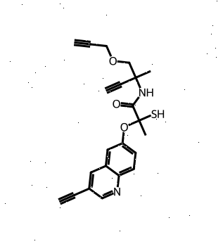 C#CCOCC(C)(C#C)NC(=O)C(C)(S)Oc1ccc2ncc(C#C)cc2c1